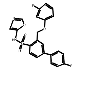 O=S(=O)(Nc1cnco1)c1ccc(-c2ccc(F)cc2)cc1COc1cccc(F)c1